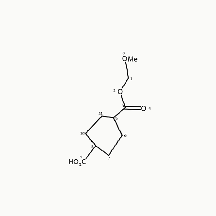 COCOC(=O)C1CCC(C(=O)O)CC1